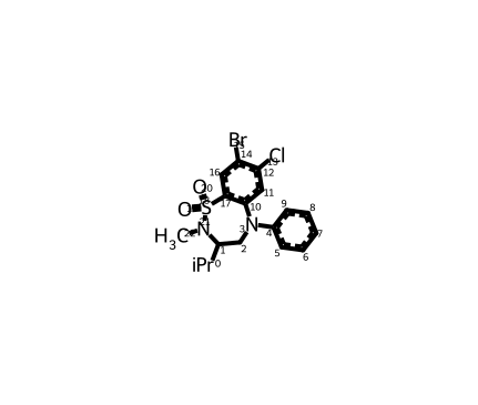 CC(C)C1CN(c2ccccc2)c2cc(Cl)c(Br)cc2S(=O)(=O)N1C